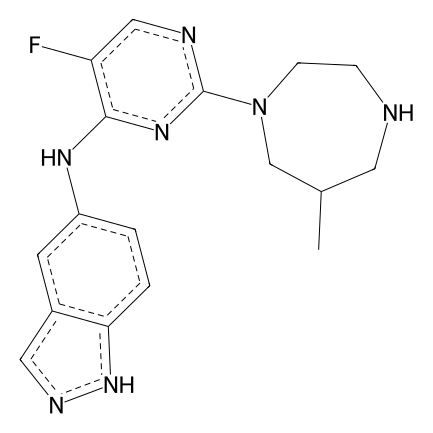 CC1CNCCN(c2ncc(F)c(Nc3ccc4[nH]ncc4c3)n2)C1